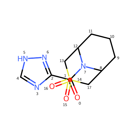 O=C(c1nc[nH]n1)N1C2CCCC1CS(=O)(=O)C2